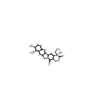 CC[C@@]1(O)C(=O)OCc2c1cc1n(c2=O)Cc2cc3c(N)c(O)ccc3nc2-1